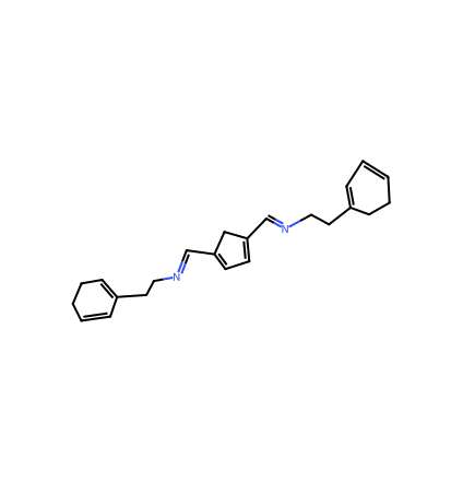 C1=CCCC(CC/N=C/C2=CC=C(/C=N/CCC3=CCCC=C3)C2)=C1